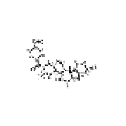 CC(Nc1ncnc2cc(C(=O)N3CCN(C=O)CC3)c(Cl)cc12)c1nc2cc(Cl)ccc2[nH]1